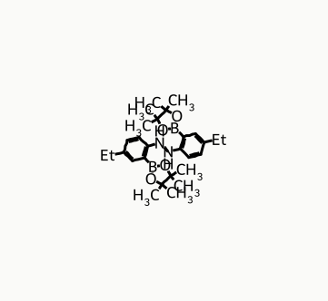 CCc1ccc(NNc2ccc(CC)cc2B2OC(C)(C)C(C)(C)O2)c(B2OC(C)(C)C(C)(C)O2)c1